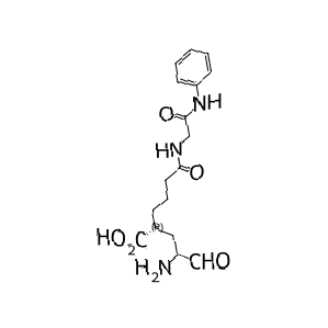 NC(C=O)C[C@@H](CCCC(=O)NCC(=O)Nc1ccccc1)C(=O)O